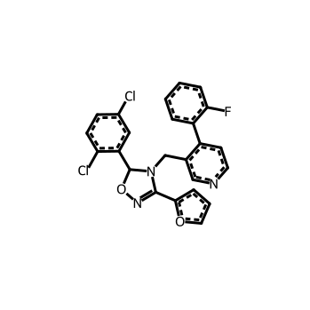 Fc1ccccc1-c1ccncc1CN1C(c2ccco2)=NOC1c1cc(Cl)ccc1Cl